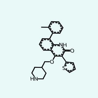 Cc1ccccc1-c1cccc2c(OCC3CCNCC3)c(-c3cccs3)c(=O)[nH]c12